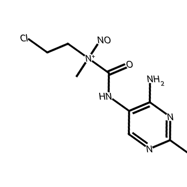 Cc1ncc(NC(=O)[N+](C)(CCCl)N=O)c(N)n1